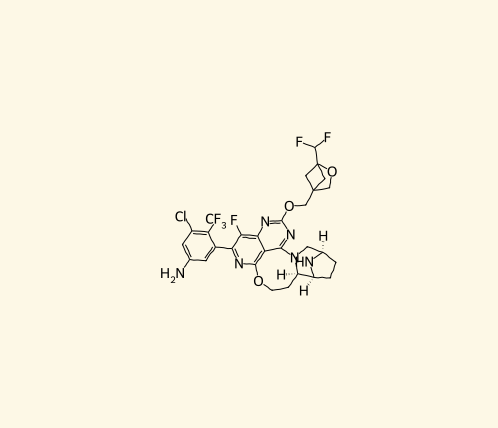 Nc1cc(Cl)c(C(F)(F)F)c(-c2nc3c4c(nc(OCC56COC(C(F)F)(C5)C6)nc4c2F)N2C[C@H]4CC[C@H](N4)[C@H]2CCO3)c1